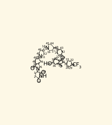 O=C1CCC(N2Cc3cc(N4CCC(CN5CCC(Cc6ccc(Oc7c(-c8ccc(C(F)(F)F)cc8)sc8cc(O)ccc78)cc6)CC5)CC4)ccc3C2=O)C(=O)N1